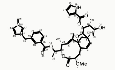 CO[C@H]1CC2C=C[C@@H]3C[C@]2(O[C@H]3[C@H](OC(=O)c2ccc[nH]2)[C@H](C)[C@H](C)O)/C(C)=C/[C@@H](C)[C@@H]([C@@H](C)OC(=O)c2cccc(C[n+]3ccn(C)c3)c2)OC1=O